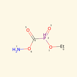 CCO[PH](=O)C(=O)ON